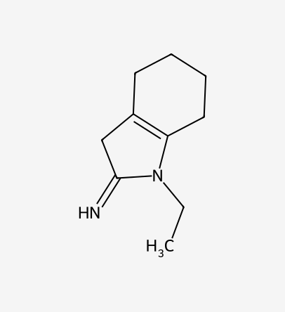 CCN1C(=N)CC2=C1CCCC2